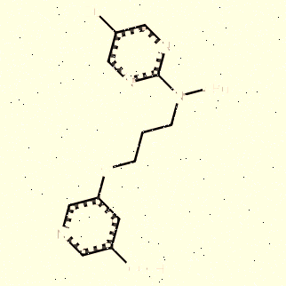 CCCCN(CCCOc1cncc(C(=O)O)c1)c1ncc(CC)cn1